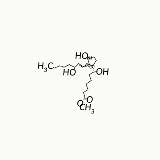 CCCCCC(O)C=C[C@@H]1[C@@H](C(O)CCCCCC(=O)OC)CC[C@@H]1O